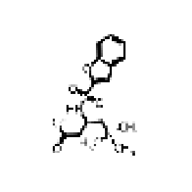 C[N+](C)(C)C[C@@H](CC(=O)[O-])NS(=O)(=O)c1cc2ccccc2o1